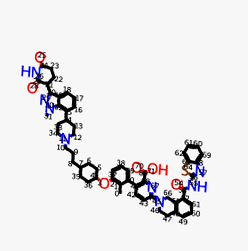 Cc1c(OC2CCC(CCCN3CCC(c4cccc5c(C6CCC(=O)NC6=O)nn(C)c45)CC3)CC2)cccc1-c1ccc(N2CCc3cccc(C(=O)Nc4nc5ccccc5s4)c3C2)nc1C(=O)O